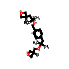 CCC1(COC(C)(C)Cc2ccc(COC(C)(C)CC3(CC)COC3)cc2)COC1